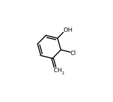 C=C1[C]=CC=C(O)C1Cl